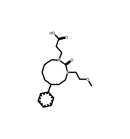 COCCN1CCC(c2ccccc2)CCCCN(CCC(=O)O)C1=O